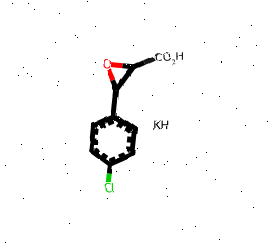 O=C(O)C1OC1c1ccc(Cl)cc1.[KH]